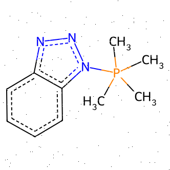 CP(C)(C)(C)n1nnc2ccccc21